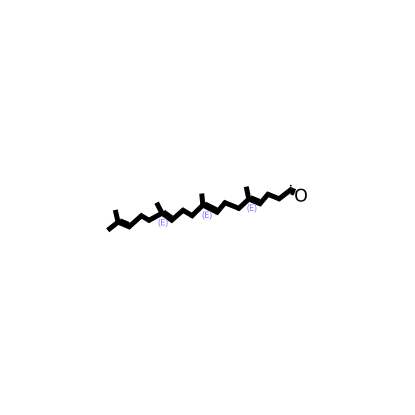 CC(C)=CCC/C(C)=C/CC/C(C)=C/CC/C(C)=C/CC[C]=O